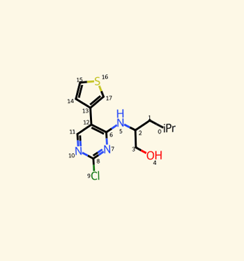 CC(C)CC(CO)Nc1nc(Cl)ncc1-c1ccsc1